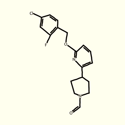 O=CN1CCC(c2cccc(OCc3ccc(Cl)cc3F)n2)CC1